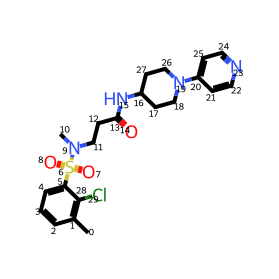 Cc1cccc(S(=O)(=O)N(C)CCC(=O)NC2CCN(c3ccncc3)CC2)c1Cl